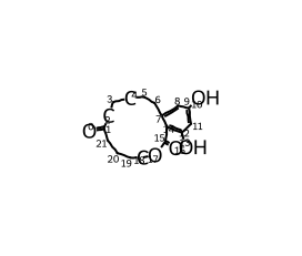 O=C1CCCCCc2cc(O)cc(O)c2C(=O)OCCCC1